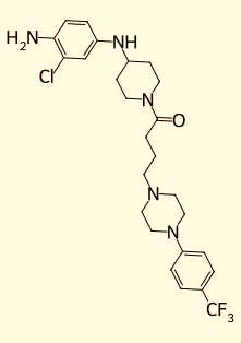 Nc1ccc(NC2CCN(C(=O)CCCN3CCN(c4ccc(C(F)(F)F)cc4)CC3)CC2)cc1Cl